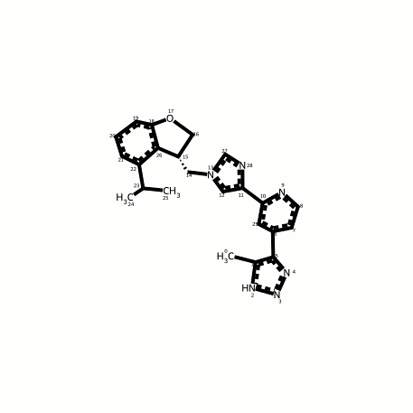 Cc1[nH]nnc1-c1ccnc(-c2cn(C[C@H]3COc4cccc(C(C)C)c43)cn2)c1